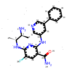 C[C@H](N)[C@@H](C)Nc1nc(Nc2cncc(-c3ccccc3)c2)c(C(N)=O)cc1F